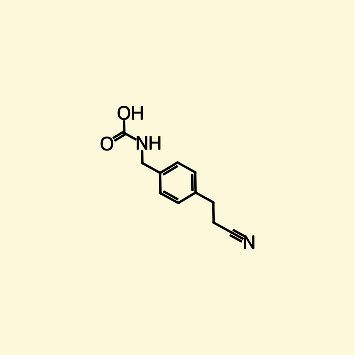 N#CCCc1ccc(CNC(=O)O)cc1